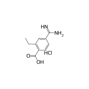 CCc1cc(C(=N)N)ccc1C(=O)O.Cl